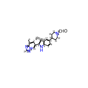 Cc1cc(-c2[nH]c3ccc(C4CCN(C=O)CC4)cc3c2C(C)C)cn2ncnc12